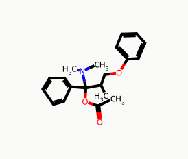 CC(=O)OC(c1ccccc1)(C(C)COc1ccccc1)N(C)C